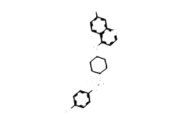 CC(C)(C)c1ccc(S(=O)(=O)N[C@H]2CC[C@@H](Nc3ccnc4cc(Cl)ccc34)CC2)cc1